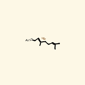 Br.CC(=O)OC/C=C(\C)CCC=C(C)C